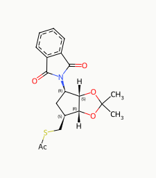 CC(=O)SC[C@H]1C[C@@H](N2C(=O)c3ccccc3C2=O)[C@@H]2OC(C)(C)O[C@H]12